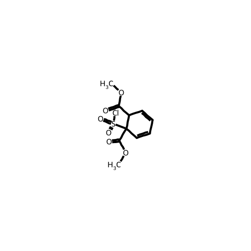 COC(=O)C1C=CC=CC1(C(=O)OC)S(=O)(=O)Cl